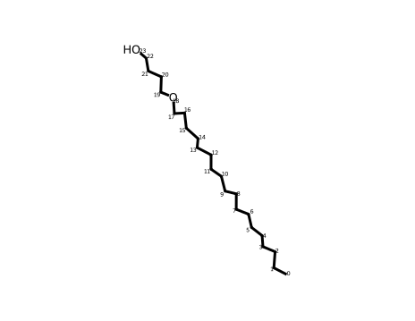 CCCCCCCCCCCCCCCCCCOCCCCO